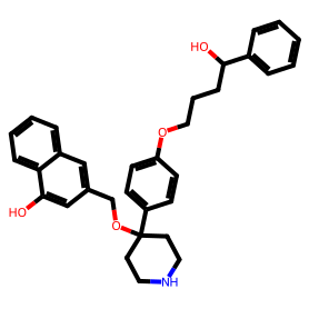 Oc1cc(COC2(c3ccc(OCCCC(O)c4ccccc4)cc3)CCNCC2)cc2ccccc12